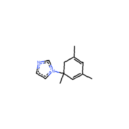 CC1=CC(C)(n2ccnc2)CC(C)=C1